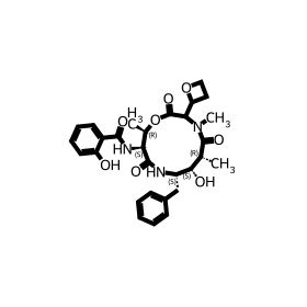 C[C@H]1OC(=O)C(C2CCO2)N(C)C(=O)[C@H](C)[C@H](O)[C@H](Cc2ccccc2)NC(=O)[C@H]1NC(=O)c1ccccc1O